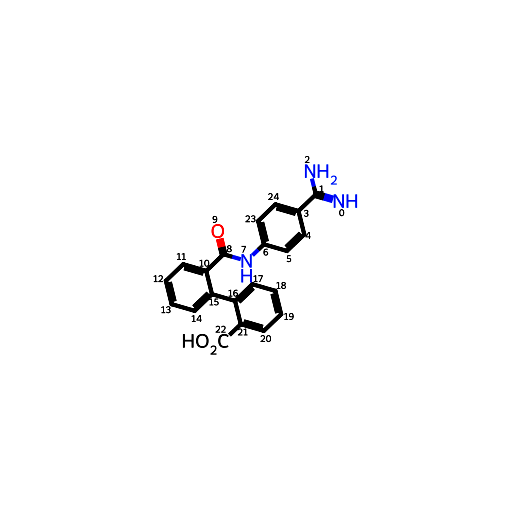 N=C(N)c1ccc(NC(=O)c2ccccc2-c2ccccc2C(=O)O)cc1